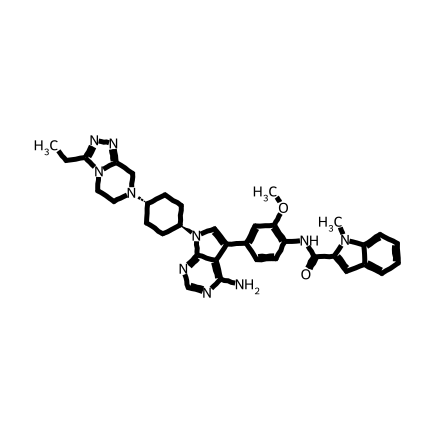 CCc1nnc2n1CCN([C@H]1CC[C@H](n3cc(-c4ccc(NC(=O)c5cc6ccccc6n5C)c(OC)c4)c4c(N)ncnc43)CC1)C2